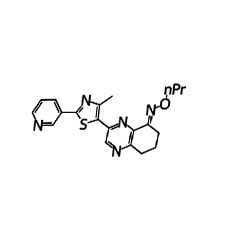 CCCO/N=C1\CCCc2ncc(-c3sc(-c4cccnc4)nc3C)nc21